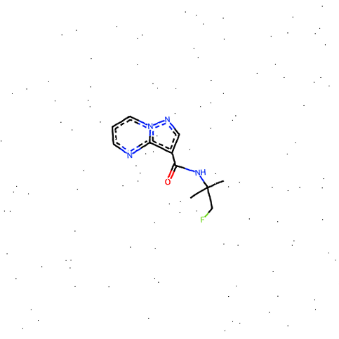 CC(C)(CF)NC(=O)c1cnn2cccnc12